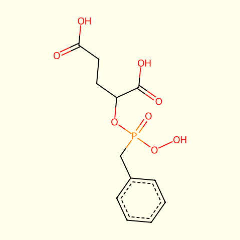 O=C(O)CCC(OP(=O)(Cc1ccccc1)OO)C(=O)O